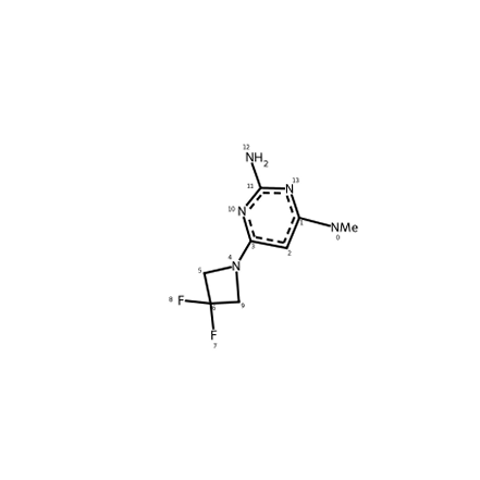 CNc1cc(N2CC(F)(F)C2)nc(N)n1